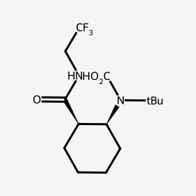 CC(C)(C)N(C(=O)O)[C@H]1CCCC[C@H]1C(=O)NCC(F)(F)F